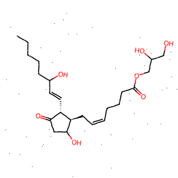 CCCCCC(O)/C=C/[C@H]1C(=O)CC(O)[C@@H]1C/C=C\CCCC(=O)OCC(O)CO